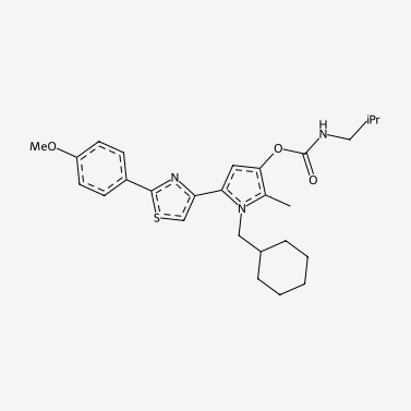 COc1ccc(-c2nc(-c3cc(OC(=O)NCC(C)C)c(C)n3CC3CCCCC3)cs2)cc1